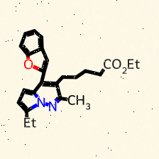 CCOC(=O)CCCCc1c(C)nn2c(CC)ccc2c1-c1cc2ccccc2o1